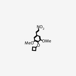 COc1cc(C=C[N+](=O)[O-])cc(OC)c1OC1CCC1